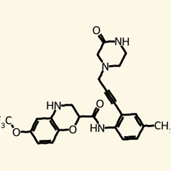 Cc1ccc(NC(=O)C2CNc3cc(OC(F)(F)F)ccc3O2)c(C#CCN2CCNC(=O)C2)c1